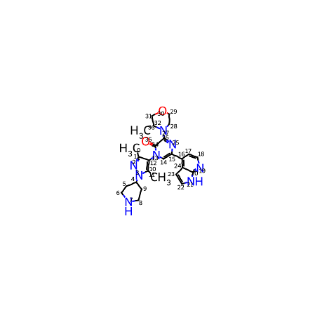 Cc1nn(C2CCNCC2)c(C)c1-n1cc(-c2ccnc3[nH]ccc23)nc(N2CCOC[C@H]2C)c1=O